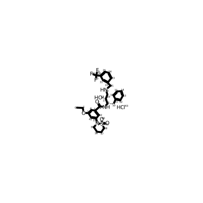 CCOc1cc(C(=O)N[C@@H](Cc2ccccc2)[C@H](O)CNCc2cccc(C(F)(F)F)c2)cc(N2CCCCS2(=O)=O)c1.Cl